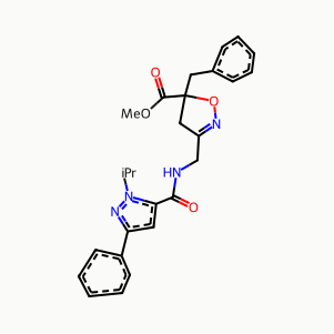 COC(=O)C1(Cc2ccccc2)CC(CNC(=O)c2cc(-c3ccccc3)nn2C(C)C)=NO1